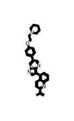 C=C(C)c1ccc2c(-c3cnn4cc(-c5ccc(OCCN6CCCCC6)cc5)cnc34)cccc2n1